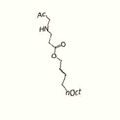 CCCCCCCCCCCCOC(=O)CCNCC(C)=O